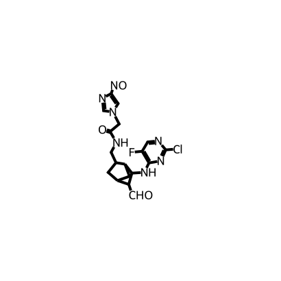 O=CC1C2CC(CNC(=O)Cn3cnc(N=O)c3)C(C2)C1Nc1nc(Cl)ncc1F